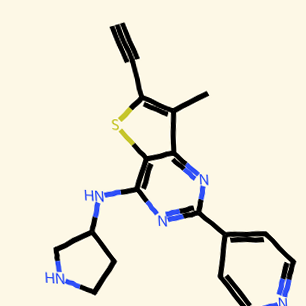 C#Cc1sc2c(NC3CCNC3)nc(-c3ccncc3)nc2c1C